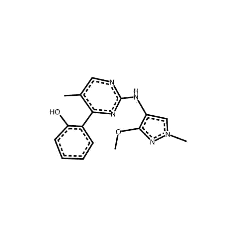 COc1nn(C)cc1Nc1ncc(C)c(-c2ccccc2O)n1